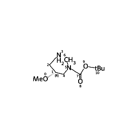 CO[C@H](CN)CN(C)C(=O)OC(C)(C)C